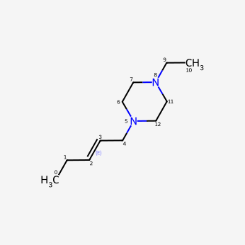 CC/C=C/CN1CCN(CC)CC1